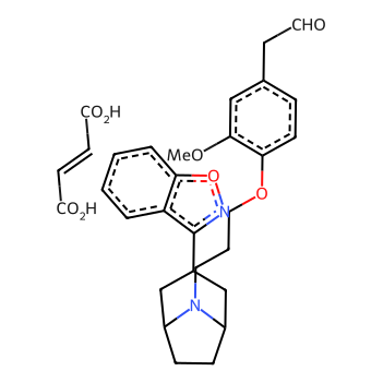 COc1cc(CC=O)ccc1OCCCN1C2CCC1CC(c1noc3ccccc13)C2.O=C(O)/C=C/C(=O)O